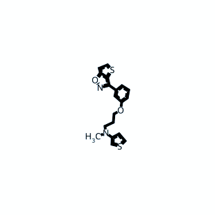 CN(CCCOc1cccc(-c2noc3ccsc23)c1)c1ccsc1